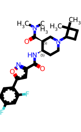 CN(C)C(=O)[C@H]1CN(C2CCC2(C)C)CC[C@@H]1NC(=O)c1cc(-c2ccc(F)cc2F)on1